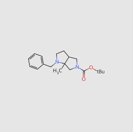 CC(C)(C)OC(=O)N1CC2CCN(Cc3ccccc3)C2(C)C1